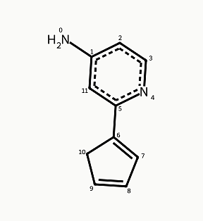 Nc1ccnc(C2=CC=CC2)c1